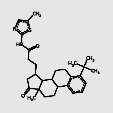 Cc1cnc(NC(=O)CC[C@@H]2CC(=O)C3(C)CCC4c5cccc(C(C)(C)C)c5CCC4C23)s1